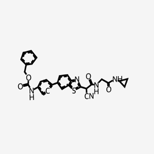 N#CC(C(=O)NCC(=O)NC1CC1)c1nc2ccc(-c3ccc(NC(=O)OCc4ccccc4)cc3)cc2s1